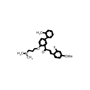 COc1ccc(C=CC(=O)c2cc(-c3ccccc3C)ccc2OCCCN(C)C)c(F)c1